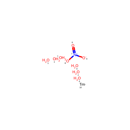 O.O.O.O.O.O.O=[N+]([O-])[O-].[Tm]